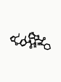 CCC1C=CC=C1Oc1ccc(N2C(=O)Nc3c(C(=O)NC4CCCCC4)sc4nccc2c34)c(C)c1